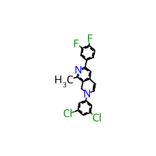 Cc1nc(-c2ccc(F)c(F)c2)cc2c1CN(c1cc(Cl)cc(Cl)c1)C=C2